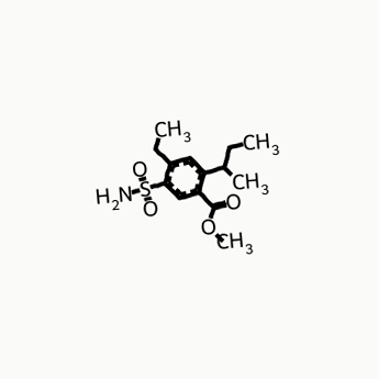 CCc1cc(C(C)CC)c(C(=O)OC)cc1S(N)(=O)=O